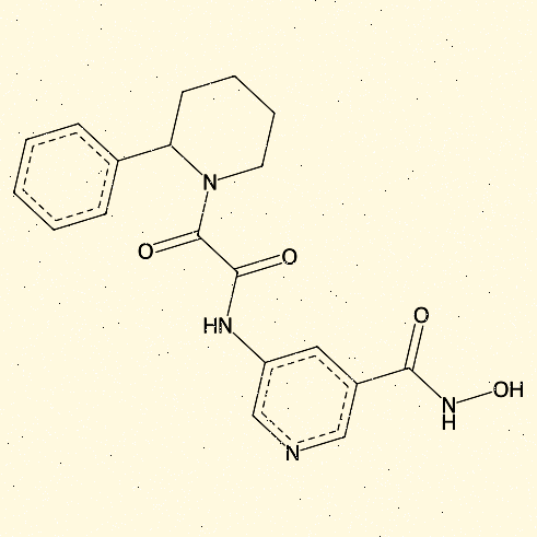 O=C(Nc1cncc(C(=O)NO)c1)C(=O)N1CCCCC1c1ccccc1